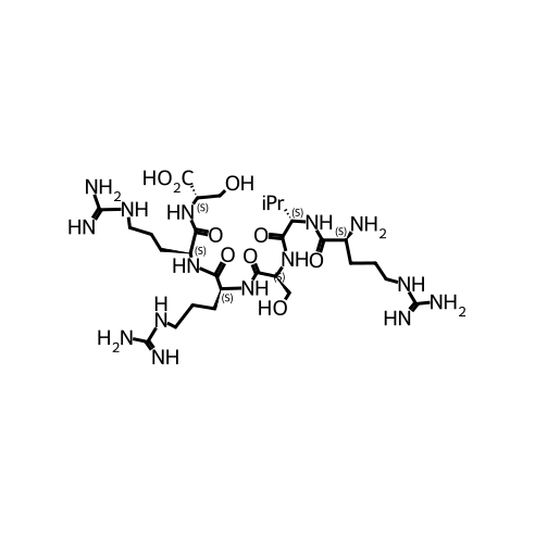 CC(C)[C@H](NC(=O)[C@@H](N)CCCNC(=N)N)C(=O)N[C@@H](CO)C(=O)N[C@@H](CCCNC(=N)N)C(=O)N[C@@H](CCCNC(=N)N)C(=O)N[C@@H](CO)C(=O)O